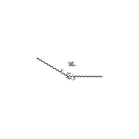 CCCCCCCCCCCCCCCCCC(=O)OCCC(O)C(C)(N)CCOC(=O)CCCCCCCCCCCCCCCCC.COS(=O)(=O)O